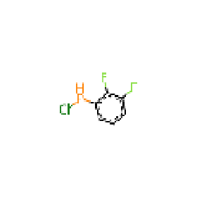 Fc1cccc(PCl)c1F